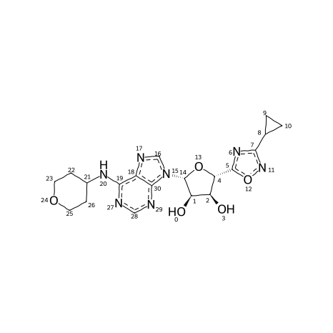 O[C@@H]1[C@H](O)[C@@H](c2nc(C3CC3)no2)O[C@H]1n1cnc2c(NC3CCOCC3)ncnc21